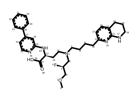 COC[C@@H](F)CN(CCCCc1ccc2c(n1)NCCC2)CC[C@H](Nc1cc(-c2ccccc2)ccn1)C(=O)O